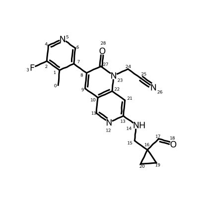 Cc1c(F)cncc1-c1cc2cnc(NCC3(C=O)CC3)cc2n(CC#N)c1=O